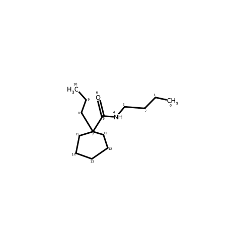 CCCCNC(=O)C1(CCC)CCCCC1